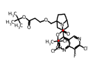 CC(C)(C)OC(=O)CCOCC12CCC(CN(c3nc(Cl)nc4c(F)c(Cl)ncc34)C1)N2C(=O)OC(C)(C)C